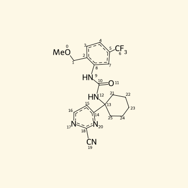 COCc1ccc(C(F)(F)F)cc1NC(=O)NC1(c2ccnc(C#N)n2)CCCCC1